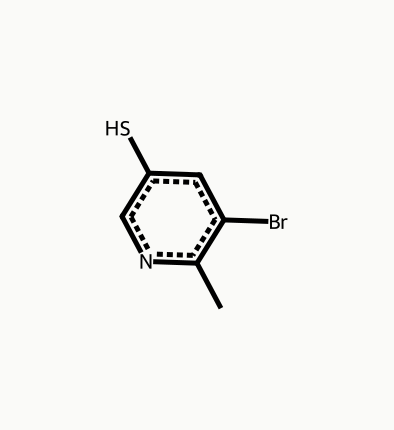 Cc1ncc(S)cc1Br